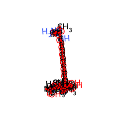 CCCNC(=O)[C@H](CCCCNC(=O)CCOCCOCCOCCOCCOCCOCCOCCOCCOCCOCCOCCOC(=O)Nc1cc(C[N+]2(C)CCCC[C@@H]2C(=O)N[C@H](C(=O)N(C)[C@H](C[C@@H](OC(C)=O)c2nc(C(=O)N[C@@H](Cc3ccccc3)C[C@H](C)C(=O)O)cs2)C(C)C)[C@@H](C)CC)ccc1O[C@@H]1O[C@H](C(=O)O)[C@@H](O)[C@H](O)[C@H]1O)NC(=O)[C@H](CN)N1C(=O)C=CC1=O